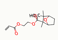 C=CC(=O)OCCOC(=O)C1(C)C2CCC(O2)C1(C)C(=O)O